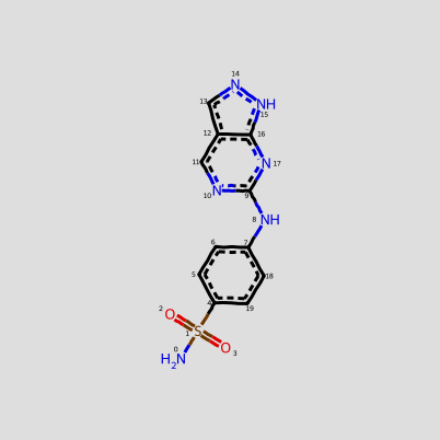 NS(=O)(=O)c1ccc(Nc2ncc3cn[nH]c3n2)cc1